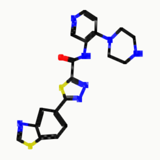 O=C(Nc1cnccc1N1CCNCC1)c1nnc(-c2ccc3scnc3c2)s1